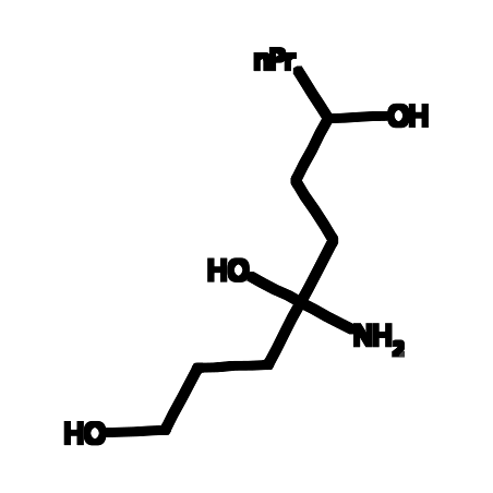 CCCC(O)CCC(N)(O)CCCO